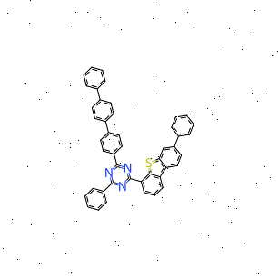 c1ccc(-c2ccc(-c3ccc(-c4nc(-c5ccccc5)nc(-c5cccc6c5sc5cc(-c7ccccc7)ccc56)n4)cc3)cc2)cc1